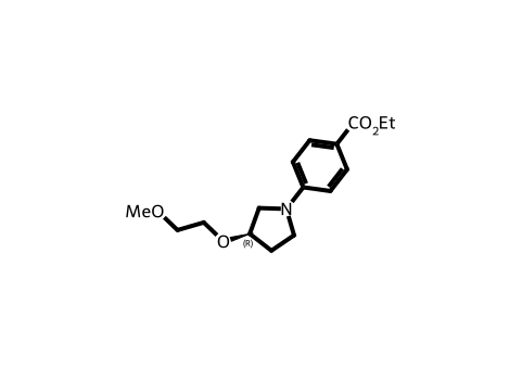 CCOC(=O)c1ccc(N2CC[C@@H](OCCOC)C2)cc1